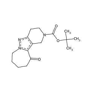 CC(C)(C)OC(=O)N1CCc2nn3c(c2C1)C(=O)CCCC3